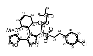 COC1=C(n2c(-c3ccco3)nnc2N(CC[Si](C)(C)C)S(=O)(=O)CCc2ccc(Cl)cc2)C(C=O)CC=C1